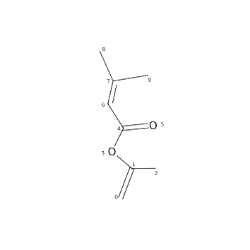 C=C(C)OC(=O)C=C(C)C